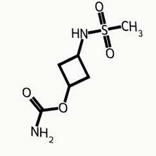 CS(=O)(=O)NC1CC(OC(N)=O)C1